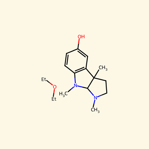 CCOCC.CN1CCC2(C)c3cc(O)ccc3N(C)C12